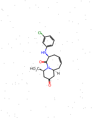 O=C1C[C@@H]2C/C=C\C[C@H](Nc3cccc(Cl)c3)C(=O)N2[C@H](C(=O)O)C1